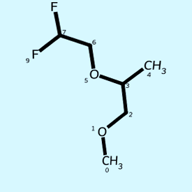 COCC(C)OCC(F)F